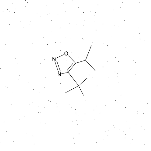 CC(C)c1onnc1C(C)(C)C